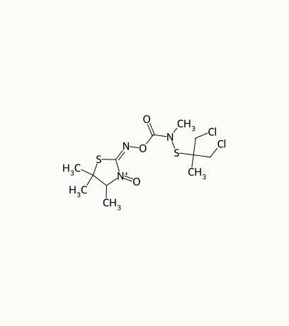 CC1[N+](=O)C(=NOC(=O)N(C)SC(C)(CCl)CCl)SC1(C)C